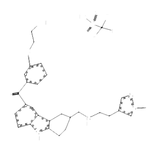 CCCOc1cccc(C(=O)c2ccc3[nH]c4c(c3c2)CC(CNCCc2cnn(C)c2)CC4)c1.O=S(=O)(O)C(F)(F)F